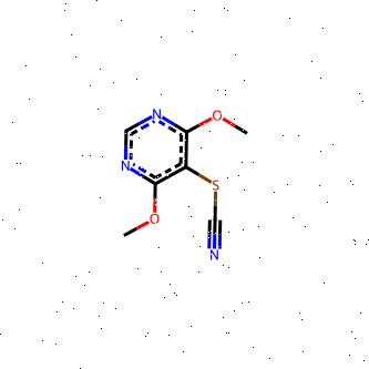 COc1ncnc(OC)c1SC#N